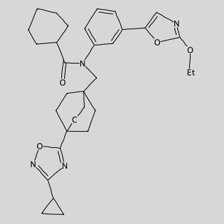 CCOc1ncc(-c2cccc(N(CC34CCC(c5nc(C6CC6)no5)(CC3)CC4)C(=O)C3CCCCC3)c2)o1